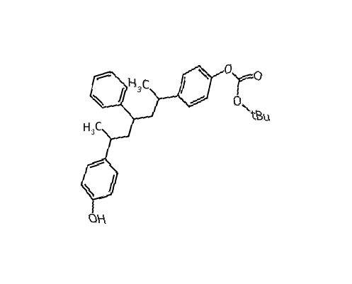 CC(CC(CC(C)c1ccc(OC(=O)OC(C)(C)C)cc1)c1ccccc1)c1ccc(O)cc1